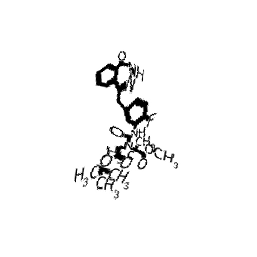 COC(=O)C(C)(C)N(CC(=O)OC(C)(C)C)C(=O)Nc1cc(Cc2n[nH]c(=O)c3ccccc23)ccc1F